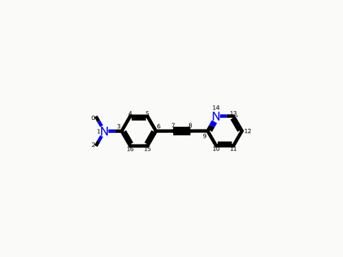 CN(C)c1ccc(C#Cc2ccc[c]n2)cc1